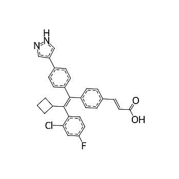 O=C(O)C=Cc1ccc(C(=C(c2ccc(F)cc2Cl)C2CCC2)c2ccc(-c3cn[nH]c3)cc2)cc1